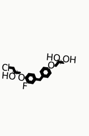 OC[C@H](O)COc1ccc(Cc2ccc(OC[C@@H](O)CCl)c(F)c2)cc1